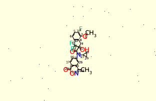 COc1c(F)cccc1CC(O)(C(=O)N(c1ccc2c(=O)onc(C)c2c1)C1CC1)C(F)(F)F